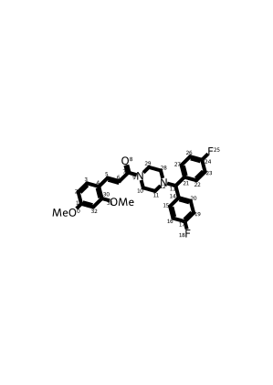 COc1ccc(C=CC(=O)N2CCN(C(c3ccc(F)cc3)c3ccc(F)cc3)CC2)c(OC)c1